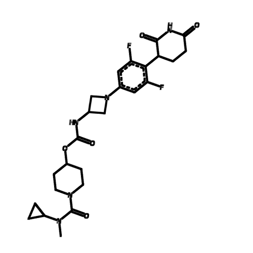 CN(C(=O)N1CCC(OC(=O)NC2CN(c3cc(F)c(C4CCC(=O)NC4=O)c(F)c3)C2)CC1)C1CC1